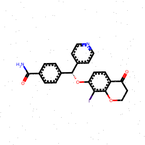 NC(=O)c1ccc([C@@H](Oc2ccc3c(c2I)OCCC3=O)c2ccncc2)cc1